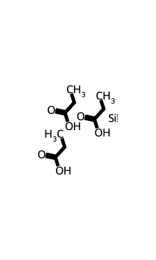 CCC(=O)O.CCC(=O)O.CCC(=O)O.[Si]